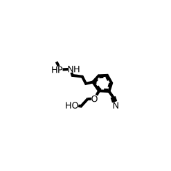 CPNCCCc1cccc(C#N)c1OCCO